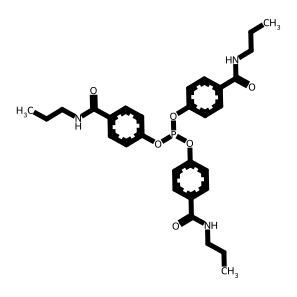 CCCNC(=O)c1ccc(OP(Oc2ccc(C(=O)NCCC)cc2)Oc2ccc(C(=O)NCCC)cc2)cc1